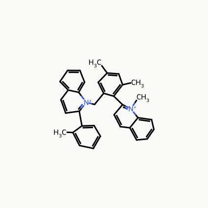 Cc1cc(C)c(-c2ccc3ccccc3[n+]2C)c(C[n+]2c(-c3ccccc3C)ccc3ccccc32)c1